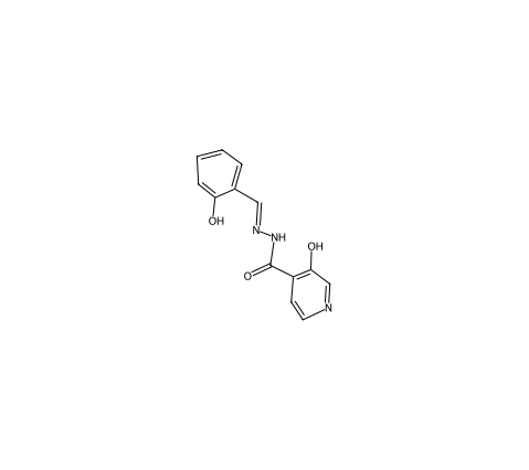 O=C(NN=Cc1ccccc1O)c1ccncc1O